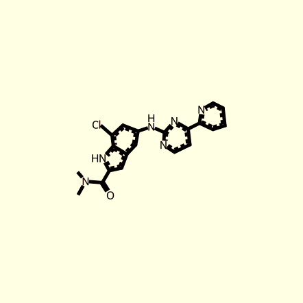 CN(C)C(=O)c1cc2cc(Nc3nccc(-c4ccccn4)n3)cc(Cl)c2[nH]1